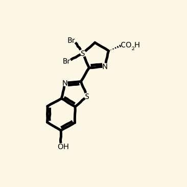 O=C(O)[C@H]1CS(Br)(Br)C(c2nc3ccc(O)cc3s2)=N1